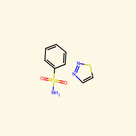 NS(=O)(=O)c1ccccc1.c1csnn1